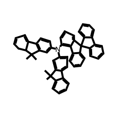 CC1(C)c2ccccc2-c2ccc(N(c3ccc4c(c3)C(C)(C)C3CC=CC=C43)c3cccc4c3-c3ccccc3C43c4ccccc4-c4ccccc43)cc21